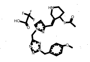 COc1ccc(Cn2nnc(Cn3ccc(/C=C4\CNCCC4SC(C)=O)n3)n2)cc1.O=C(O)C(F)(F)F